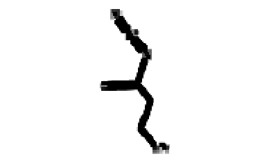 CCCCCC(=O)N=[N+]=[N-]